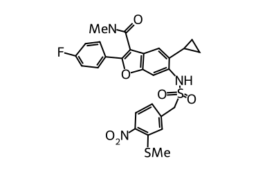 CNC(=O)c1c(-c2ccc(F)cc2)oc2cc(NS(=O)(=O)Cc3ccc([N+](=O)[O-])c(SC)c3)c(C3CC3)cc12